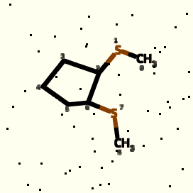 CSC1CCCC1SC